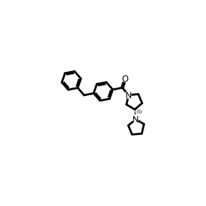 O=C(c1ccc(Cc2ccccc2)cc1)N1CC[C@H](N2CCCC2)C1